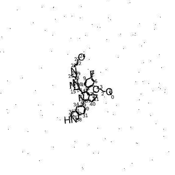 COCCOc1cc(F)ccc1-c1c(-c2cnn(C3CN(C=CC=O)C3)c2)nc(-c2ccc3c(c2)CCNC3)c2ccsc12